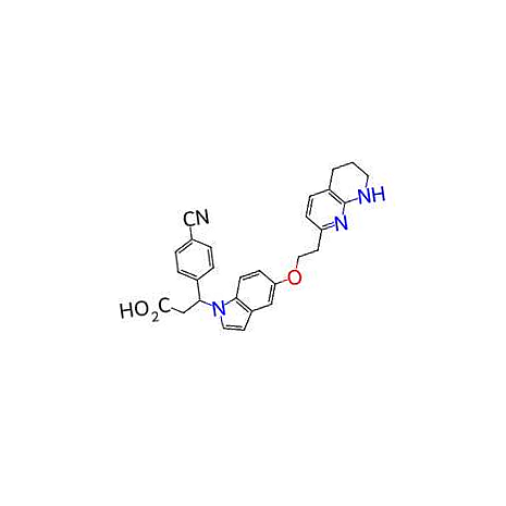 N#Cc1ccc(C(CC(=O)O)n2ccc3cc(OCCc4ccc5c(n4)NCCC5)ccc32)cc1